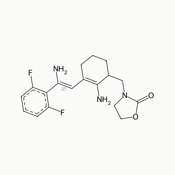 NC1=C(/C=C(\N)c2c(F)cccc2F)CCCC1CN1CCOC1=O